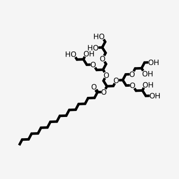 CCCCCCCCCCCCCCCCCC(=O)OC(COC(COCC(O)CO)COCC(O)CO)COC(COCC(O)CO)COCC(O)CO